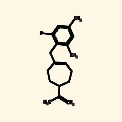 C=C(C)C1CCC=C(Cc2c(C)cc(C)cc2F)CC1